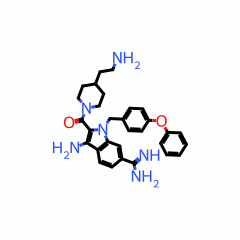 N=C(N)c1ccc2c(N)c(C(=O)N3CCC(CCN)CC3)n(Cc3ccc(Oc4ccccc4)cc3)c2c1